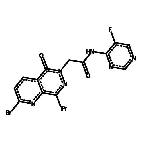 CC(C)c1nn(CC(=O)Nc2ncncc2F)c(=O)c2ccc(Br)nc12